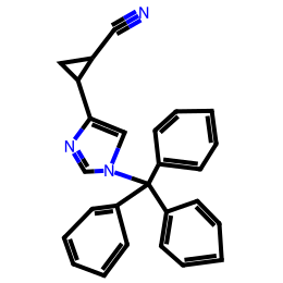 N#CC1CC1c1cn(C(c2ccccc2)(c2ccccc2)c2ccccc2)cn1